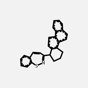 C1=Cc2ccccc2SN=C1C1CCCc2c1ccc1c2ccc2ccccc21